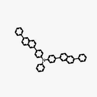 c1ccc(-c2ccc3cc(-c4ccc(N(c5ccccc5)c5ccc(-c6ccc7cc(-c8ccccc8)ccc7c6)cc5)cc4)ccc3c2)cc1